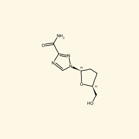 NC(=O)c1ncn([C@H]2CC[C@@H](CO)O2)n1